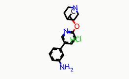 Cl.Nc1cccc(-c2ccc(OC3CN4CCC3CC4)nc2)c1